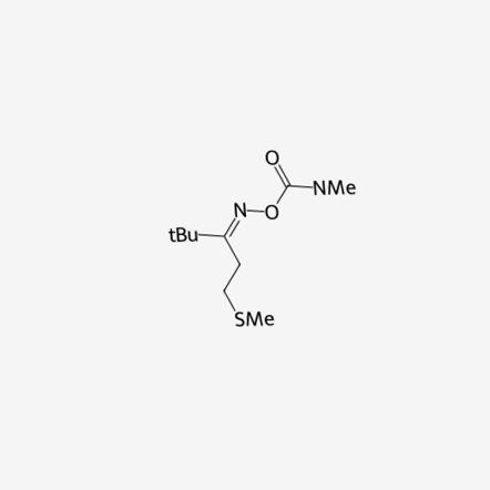 CNC(=O)ON=C(CCSC)C(C)(C)C